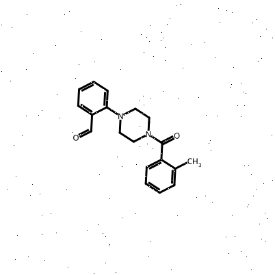 Cc1ccccc1C(=O)N1CCN(c2ccccc2C=O)CC1